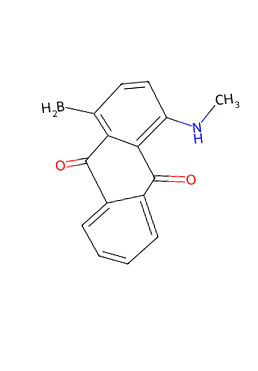 Bc1ccc(NC)c2c1C(=O)c1ccccc1C2=O